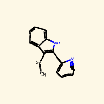 N#C[Se]c1c(-c2ccccn2)[nH]c2ccccc12